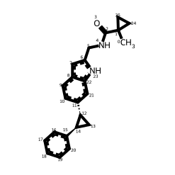 CC1(C(=O)NCc2cc3ccc([C@@H]4C[C@H]4c4ccccc4)cc3[nH]2)CC1